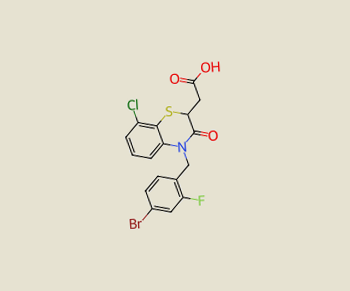 O=C(O)CC1Sc2c(Cl)cccc2N(Cc2ccc(Br)cc2F)C1=O